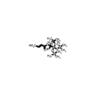 CCC(OC(=O)C=CC(=O)O)(C(C)C)[Si](O[Si](C)(C)C)(O[Si](C)(C)C)O[Si](C)(C)C